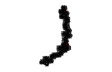 c1ccc(-c2c3ccccc3c(-c3cccc(-c4ccc5ccc(-c6ccc7ccc(-c8c9ccccc9c(-c9ccc(-c%10ccc%11cc(-c%12c%13ccccc%13c(-c%13cccc(-c%14ccc%15ccc(-c%16ccc%17ccc(-c%18c%19ccccc%19c(-c%19cccc%20c%19oc%19ccccc%19%20)c%19ccccc%18%19)cc%17c%16)cc%15c%14)c%13)c%13ccccc%12%13)ccc%11c%10)c%10oc%11ccccc%11c9%10)c9ccccc89)cc7c6)cc5c4)c3)c3ccccc23)cc1